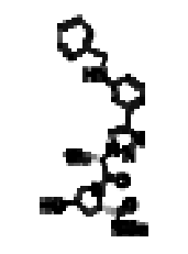 CNC(=O)[C@@H]1C[C@@H](O)CN1C(=O)[C@@H](n1cc(-c2cccc(NCc3ccccc3)c2)nn1)C(C)(C)C